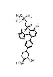 CCCc1ccc(-c2ccc(C3CCN(C(=O)O)C(C(C)(C)C)C3)cc2)c(-c2nnn[nH]2)c1S(=O)(=O)CC[Si](C)(C)C